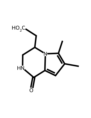 Cc1cc2n(c1C)C(CC(=O)O)CNC2=O